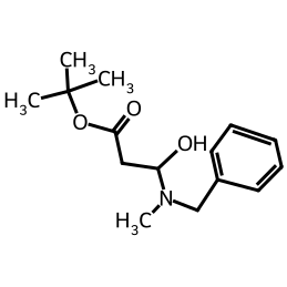 CN(Cc1ccccc1)C(O)CC(=O)OC(C)(C)C